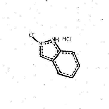 Cl.[O-][n+]1cc2ccccc2[nH]1